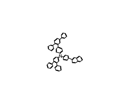 c1ccc(-c2ccc(-c3ccccc3)c(-c3ccc(N(c4ccc(-c5ccc6ccccc6c5)cc4)c4ccc(-c5ccccc5)c(-c5ccccc5)c4)cc3)c2)cc1